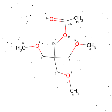 COCC(COC)(COC)COC(C)=O